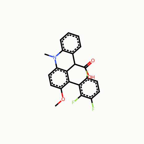 COc1ccc2c(c1-c1c(F)ccc(F)c1F)C(C(=O)O)c1ccccc1N2C